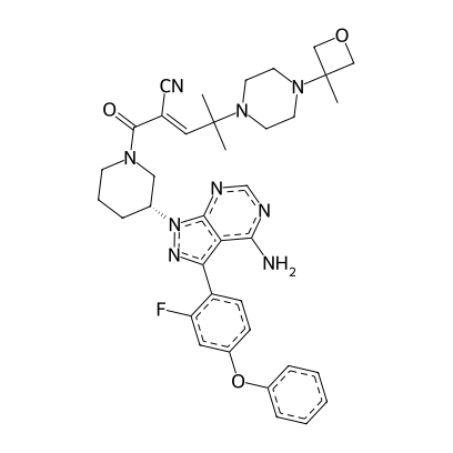 CC(C)(C=C(C#N)C(=O)N1CCC[C@@H](n2nc(-c3ccc(Oc4ccccc4)cc3F)c3c(N)ncnc32)C1)N1CCN(C2(C)COC2)CC1